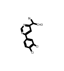 O=CC(Br)c1cc(-c2ccc(Cl)c(Cl)c2)ncn1